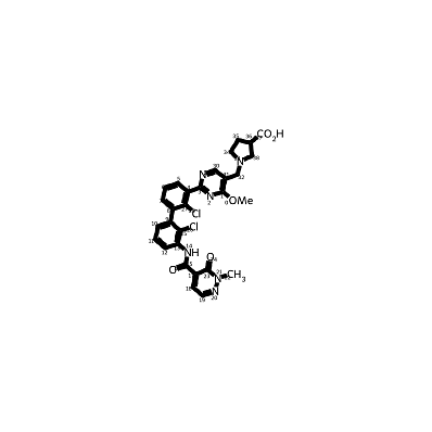 COc1nc(-c2cccc(-c3cccc(NC(=O)c4ccnn(C)c4=O)c3Cl)c2Cl)ncc1CN1CCC(C(=O)O)C1